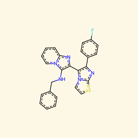 Fc1ccc(-c2nc3sccn3c2-c2nc3ccccn3c2NCc2ccccc2)cc1